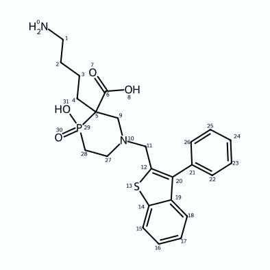 NCCCCC1(C(=O)O)CN(Cc2sc3ccccc3c2-c2ccccc2)CCP1(=O)O